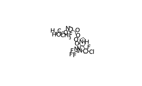 CC(C)(O)COc1nccc(C(=O)COC(=O)[C@@H]2CC[C@@H]3CC(c4c(-n5cc(C(F)(F)F)nn5)ccc(Cl)c4F)=CC(=O)N32)c1F